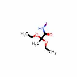 CCOC(C)(OCC)C(=O)NI